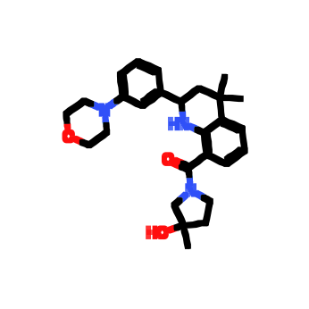 CC1(O)CCN(C(=O)c2cccc3c2NC(c2cccc(N4CCOCC4)c2)CC3(C)C)C1